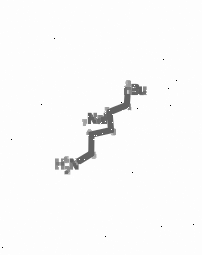 CCCCCCCCCN.[NaH]